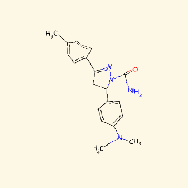 Cc1ccc(C2=NN(C(N)=O)C(c3ccc(N(C)C)cc3)C2)cc1